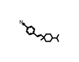 CC(C)C1CCC(C)(/C=C/c2ccc(C#N)cc2)CC1